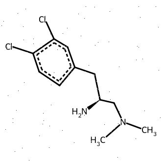 CN(C)C[C@@H](N)Cc1ccc(Cl)c(Cl)c1